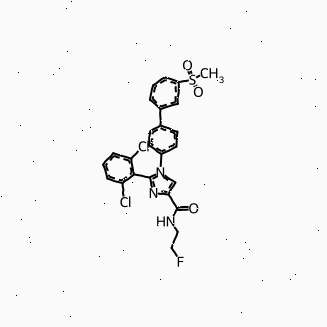 CS(=O)(=O)c1cccc(-c2ccc(-n3cc(C(=O)NCCF)nc3-c3c(Cl)cccc3Cl)cc2)c1